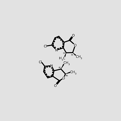 C[C@@H]1OC(=O)c2ccc(Cl)nc2[C@@H]1C.C[C@@H]1c2nc(Cl)ccc2C(=O)O[C@@H]1C